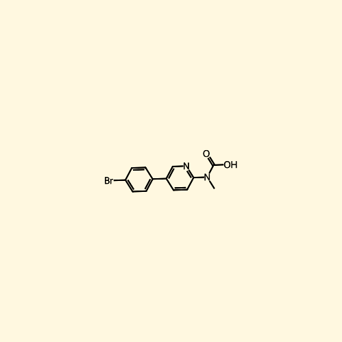 CN(C(=O)O)c1ccc(-c2ccc(Br)cc2)cn1